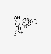 Cn1cc(-c2cc(CO)ccc2Oc2ccc(F)cc2F)c2ccn(S(=O)(=O)Cc3ccccc3)c2c1=O